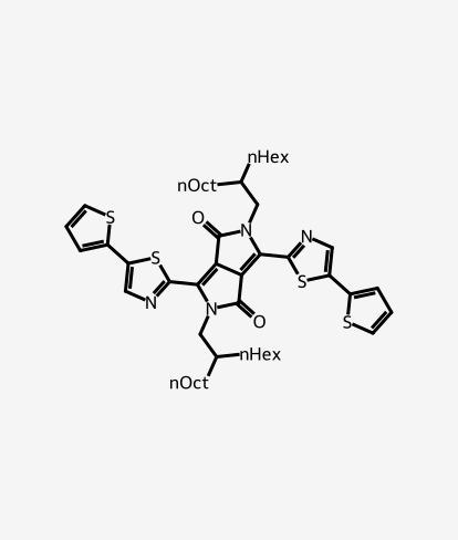 CCCCCCCCC(CCCCCC)CN1C(=O)C2=C(c3ncc(-c4cccs4)s3)N(CC(CCCCCC)CCCCCCCC)C(=O)C2=C1c1ncc(-c2cccs2)s1